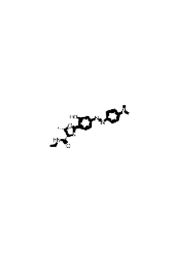 CCNC(=O)[C@H]1N=C(c2ccc(N=Nc3ccc(N(C)C)cc3)cc2O)O[C@H]1C